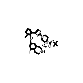 CO[C@@H]1CN(c2nc(-c3cccc(C)c3OCc3cc(F)c4c(c3)CCNCC4)cs2)CC[C@@H]1C(=O)OC(C)(C)C